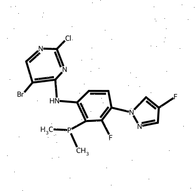 CP(C)c1c(Nc2nc(Cl)ncc2Br)ccc(-n2cc(F)cn2)c1F